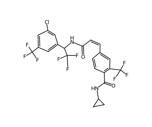 O=C(/C=C\c1ccc(C(=O)NC2CC2)c(C(F)(F)F)c1)NC(c1cc(Cl)cc(C(F)(F)F)c1)C(F)(F)F